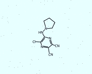 N#Cc1nc(Cl)c(NN2CCCC2)nc1C#N